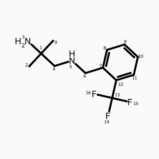 CC(C)(N)CNCc1ccccc1C(F)(F)F